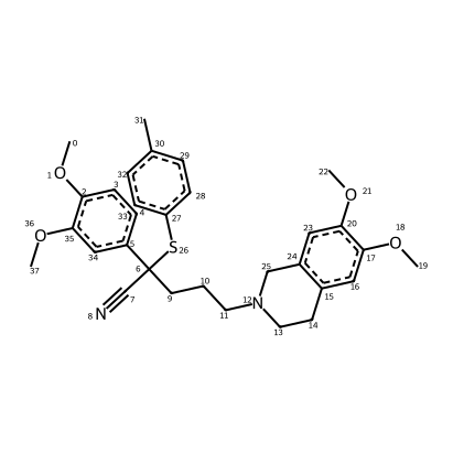 COc1ccc(C(C#N)(CCCN2CCc3cc(OC)c(OC)cc3C2)Sc2ccc(C)cc2)cc1OC